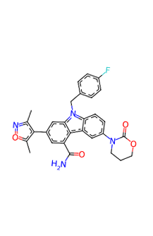 Cc1noc(C)c1-c1cc(C(N)=O)c2c3cc(N4CCCOC4=O)ccc3n(Cc3ccc(F)cc3)c2c1